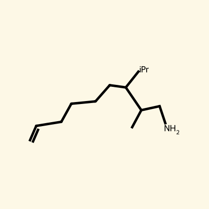 C=CCCCCC(C(C)C)C(C)CN